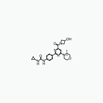 C[C@H]1COCCN1c1cc(C(=O)N2CC(O)C2)nc(-c2ccc(NC(=O)NC3CC3)cc2)n1